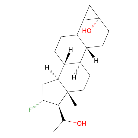 CC(O)[C@H]1[C@H](F)C[C@H]2[C@@H]3CCC4C5C[C@@]5(O)CC[C@@H]4[C@H]3CC[C@@]21C